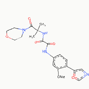 COc1cc(NC(=O)C(=O)NC(C)(C)C(=O)N2CCOCC2)ccc1-c1cnco1